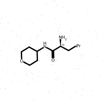 CC(C)C[C@H](N)C(=O)NC1CCOCC1